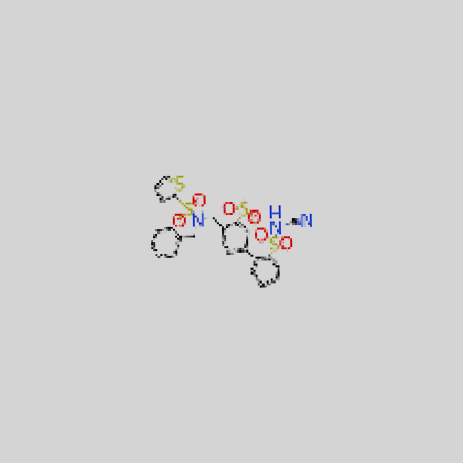 CS(=O)(=O)c1cc(-c2ccccc2S(=O)(=O)NC#N)ccc1CN(Cc1ccccc1)S(=O)(=O)c1cccs1